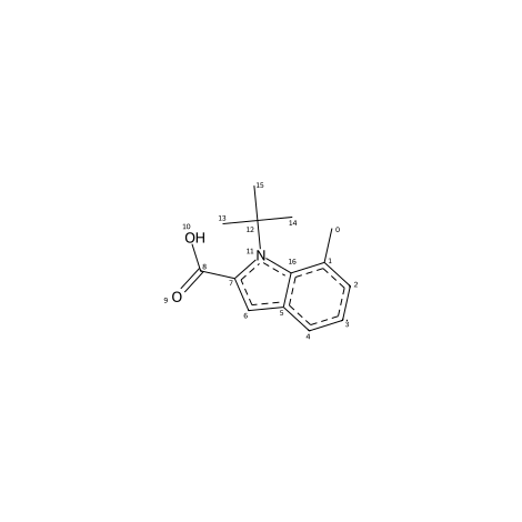 Cc1c[c]cc2cc(C(=O)O)n(C(C)(C)C)c12